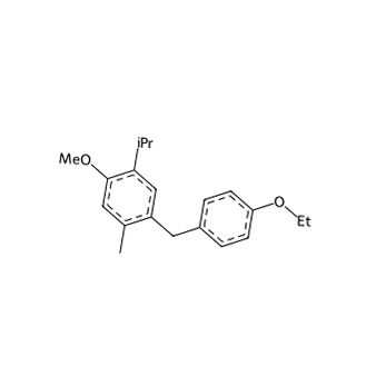 CCOc1ccc(Cc2cc(C(C)C)c(OC)cc2C)cc1